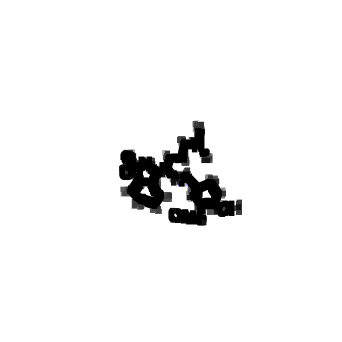 COc1cc(/C=N/N(CCCN(C)C)C2=NS(=O)(=O)c3ccccc32)ccc1O